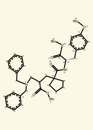 CC(C)(C)OC(=O)C(CN(Cc1ccccc1)Cc1ccccc1)CC1(C(=O)N[C@@H](Cc2ccc(OC(C)(C)C)cc2)C(=O)OC(C)(C)C)CCCC1